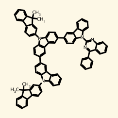 CC1(C)c2ccccc2-c2ccc(-n3c4ccccc4c4cc(-c5ccc6c(c5)c5cc(-c7ccc8c(c7)c7ccccc7n8-c7nc(-c8ccccc8)c8ccccc8n7)ccc5n6-c5ccc6c(c5)C(C)(C)c5ccccc5-6)ccc43)cc21